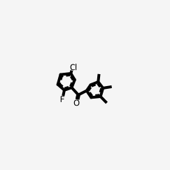 Cc1cc(C(=O)c2cc(Cl)ccc2F)cc(C)c1C